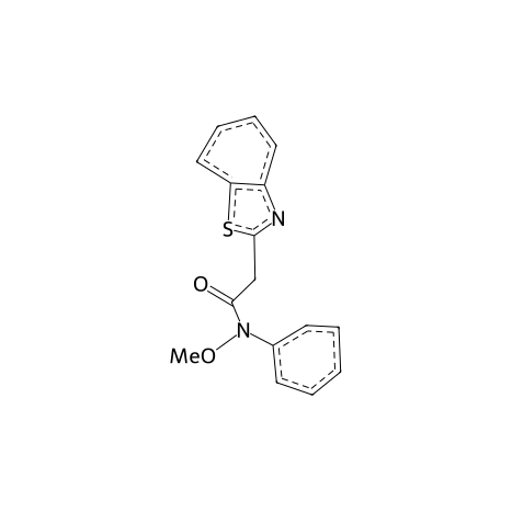 CON(C(=O)Cc1nc2ccccc2s1)c1ccccc1